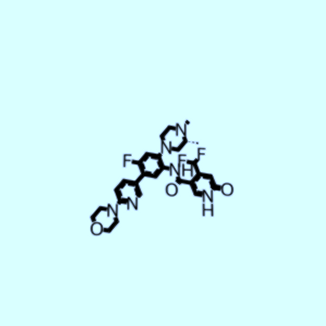 C[C@@H]1CN(c2cc(F)c(-c3ccc(N4CCOCC4)nc3)cc2NC(=O)c2c[nH]c(=O)cc2C(F)F)CCN1C